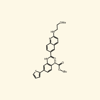 COCCNc1ccc2cc(C(=O)Nc3cc(-c4cccs4)ccc3NC(=O)OC(C)(C)C)ccc2n1